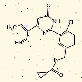 C/C=C(\C=N)c1cc(=O)[nH]c(-c2cc(CNC(=O)C3CC3)ccc2Cl)n1